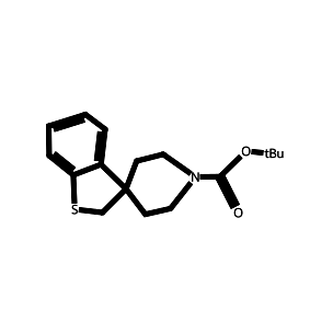 CC(C)(C)OC(=O)N1CCC2(CC1)CSc1ccccc12